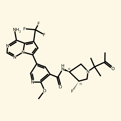 COc1ncc(-c2cc(C(F)(F)F)c3c(N)ncnn23)cc1C(=O)N[C@H]1CN(C(C)(C)C(C)=O)C[C@@H]1F